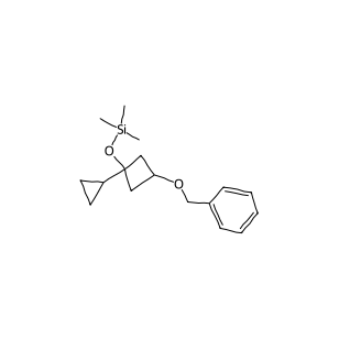 C[Si](C)(C)OC1(C2CC2)CC(OCc2ccccc2)C1